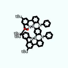 CC(C)(C)c1ccc2c(c1)c1cc(C(C)(C)C)cc3c1n2B1c2cc4c(cc2N(c2ccccc2)c2cccc-3c21)N(c1ccccc1)c1cccc2c1B4n1c3ccc(C(C)(C)C)cc3c3cc(C(C)(C)C)cc-2c31